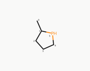 CC1CCCP1